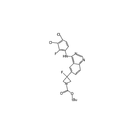 CC(C)(C)OC(=O)N1CC(F)(c2ccc3ncnc(Nc4ccc(Cl)c(Cl)c4F)c3c2)C1